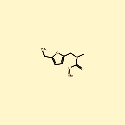 CC(=O)OCc1ccc(CN(C)C(=O)OC(C)(C)C)o1